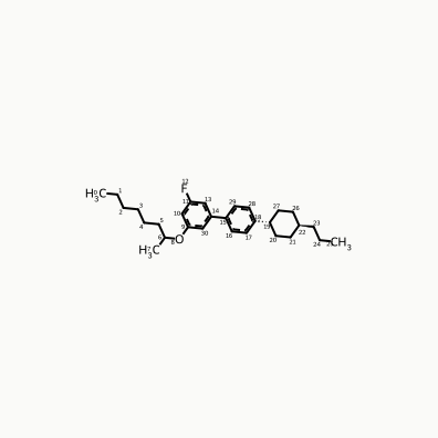 CCCCCCC(C)Oc1cc(F)cc(-c2ccc([C@H]3CC[C@H](CCC)CC3)cc2)c1